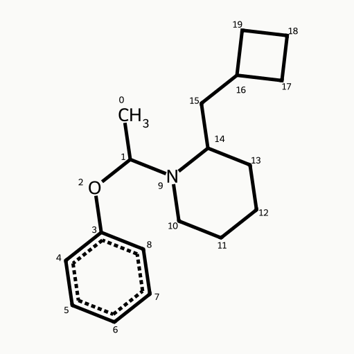 CC(Oc1ccccc1)N1CCCCC1CC1CCC1